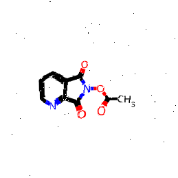 CC(=O)ON1C(=O)c2cccnc2C1=O